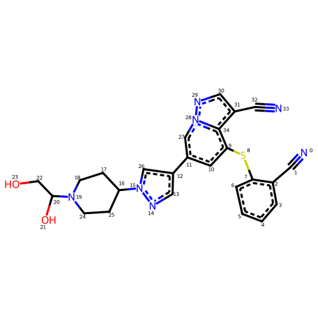 N#Cc1ccccc1Sc1cc(-c2cnn(C3CCN(C(O)CO)CC3)c2)cn2ncc(C#N)c12